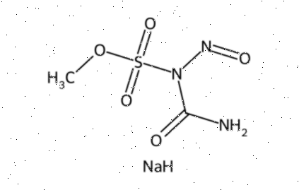 COS(=O)(=O)N(N=O)C(N)=O.[NaH]